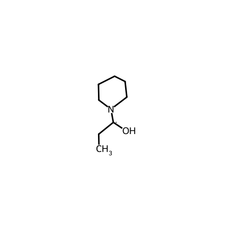 CC[C](O)N1CCCCC1